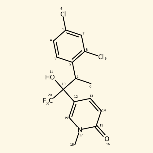 CC(c1ccc(Cl)cc1Cl)C(O)(c1ccc(=O)n(C)c1)C(F)(F)F